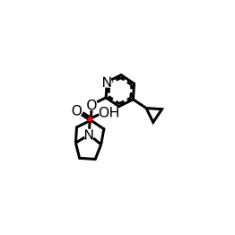 O=C(O)N1C2CCC1CC(Oc1cc(C3CC3)ccn1)C2